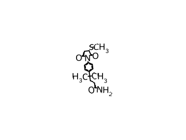 CSC1CC(=O)N(c2ccc(C(C)(C)CCC(N)=O)cc2)C1=O